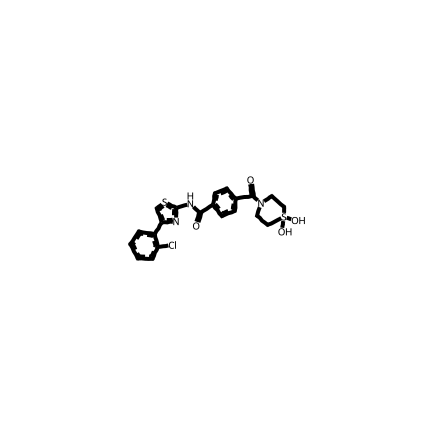 O=C(Nc1nc(-c2ccccc2Cl)cs1)c1ccc(C(=O)N2CCS(O)(O)CC2)cc1